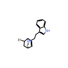 CCC1CC2C=CC1N(CCc1c[nH]c3ccccc13)C2